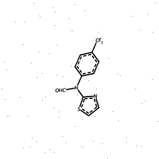 O=CN(c1ccc(C(F)(F)F)cc1)c1nccs1